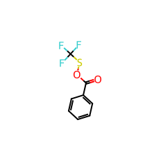 O=C(OSC(F)(F)F)c1ccccc1